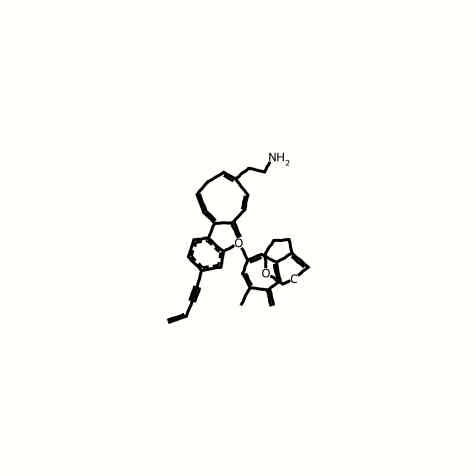 C=CC#Cc1ccc(C2=C=CC/C=C(CCN)\C=C/C2=C)c(OC2=CC(/C3=C\CCOCCC3)=CC(=C)C(C)=C2)c1